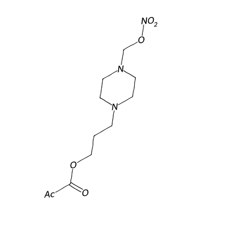 CC(=O)C(=O)OCCCN1CCN(CO[N+](=O)[O-])CC1